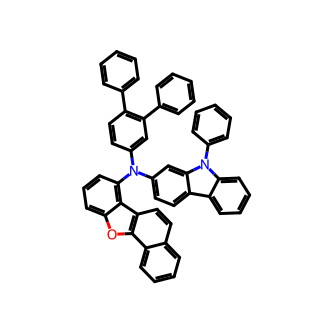 c1ccc(-c2ccc(N(c3ccc4c5ccccc5n(-c5ccccc5)c4c3)c3cccc4oc5c6ccccc6ccc5c34)cc2-c2ccccc2)cc1